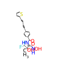 CC(O)(C(F)F)[C@H](NC(=O)c1ccc(C#CC#Cc2cccs2)cc1)C(=O)NO